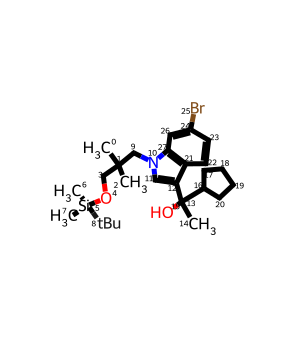 CC(C)(CO[Si](C)(C)C(C)(C)C)Cn1cc(C(C)(O)C2CCCC2)c2ccc(Br)cc21